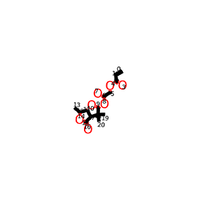 C=CC(=O)OCC(=O)OC1OC2C(C)OC(=O)C2C1(C)C